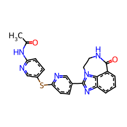 CC(=O)Nc1ccc(Sc2ccc(-c3nc4cccc5c4n3CCNC5=O)cn2)cn1